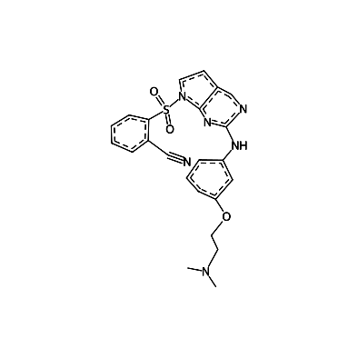 CN(C)CCOc1cccc(Nc2ncc3ccn(S(=O)(=O)c4ccccc4C#N)c3n2)c1